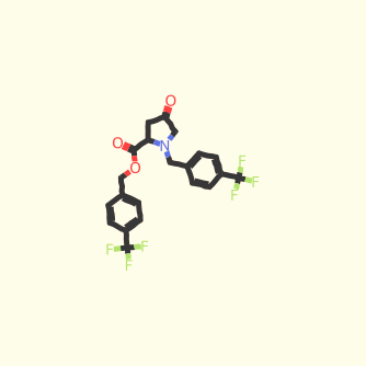 O=C1CC(C(=O)OCc2ccc(C(F)(F)F)cc2)N(Cc2ccc(C(F)(F)F)cc2)C1